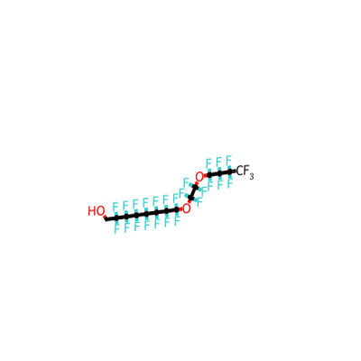 OCC(F)(F)C(F)(F)C(F)(F)C(F)(F)C(F)(F)C(F)(F)C(F)(F)OC(F)(F)C(F)(F)OC(F)(F)C(F)(F)C(F)(F)C(F)(F)F